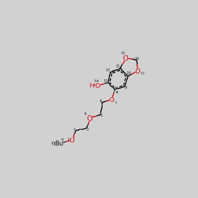 CCCCOCCOCCOc1cc2c(cc1O)OCO2